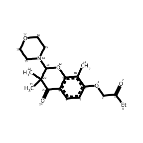 CCC(=O)COc1ccc2c(c1C)OC(N1CCOCC1)C(C)(C)C2=O